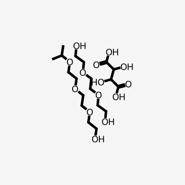 CC(C)OCCOCCOCCO.O=C(O)C(O)C(O)C(=O)O.OCCOCCOCCO